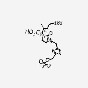 C[C@@H](CCC(C)(C)C)[C@@H](C(=O)O)N1CCN(Cc2csc(COS(C)(=O)=O)n2)C1=O